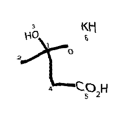 CC(C)(O)CC(=O)O.[KH]